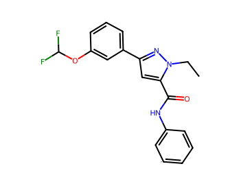 CCn1nc(-c2cccc(OC(F)F)c2)cc1C(=O)Nc1c[c]ccc1